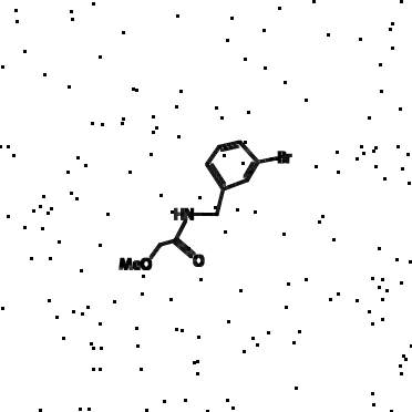 COCC(=O)NCc1cccc(Br)c1